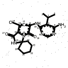 CC(C)c1c(N)ncnc1Nc1cc(Cl)c2n(c1=O)C1(CCCCC1)NC2=O